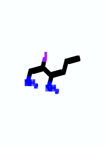 C=C/C=C(N)\C(I)=C/N